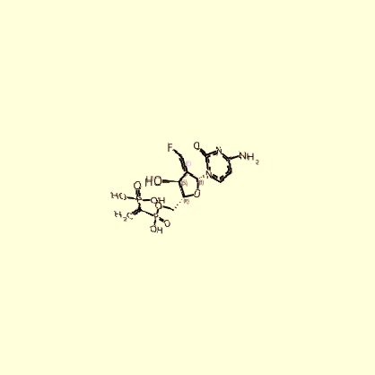 C=C(P(=O)(O)O)P(=O)(O)OC[C@H]1O[C@@H](n2ccc(N)nc2=O)/C(=C/F)[C@@H]1O